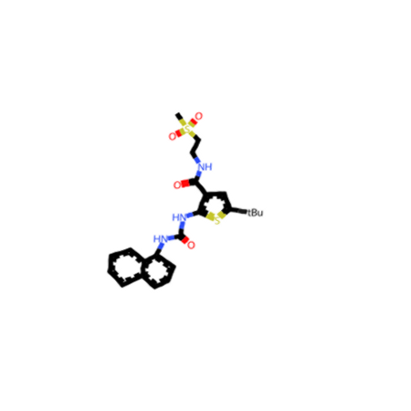 CC(C)(C)c1cc(C(=O)NCCS(C)(=O)=O)c(NC(=O)Nc2cccc3ccccc23)s1